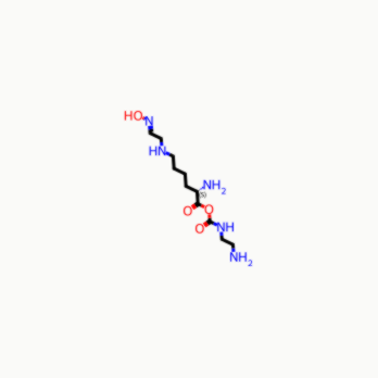 NCCNC(=O)OC(=O)[C@@H](N)CCCCNCC=NO